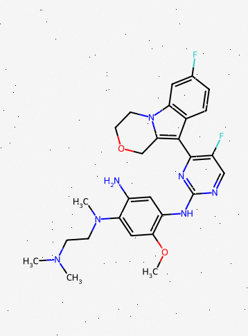 COc1cc(N(C)CCN(C)C)c(N)cc1Nc1ncc(F)c(-c2c3n(c4cc(F)ccc24)CCOC3)n1